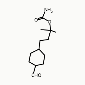 CC(C)(CCC1CCC(C=O)CC1)OC(N)=O